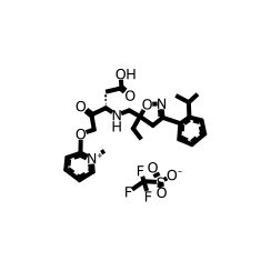 CCC1(CN[C@@H](CC(=O)O)C(=O)COc2cccc[n+]2C)CC(c2ccccc2C(C)C)=NO1.O=S(=O)([O-])C(F)(F)F